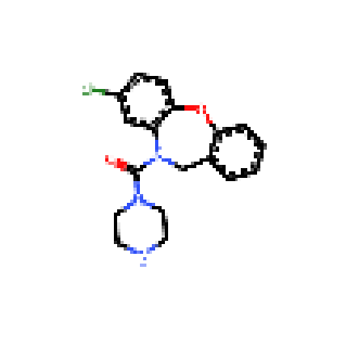 O=C(N1CCNCC1)N1Cc2ccccc2Oc2ccc(Cl)cc21